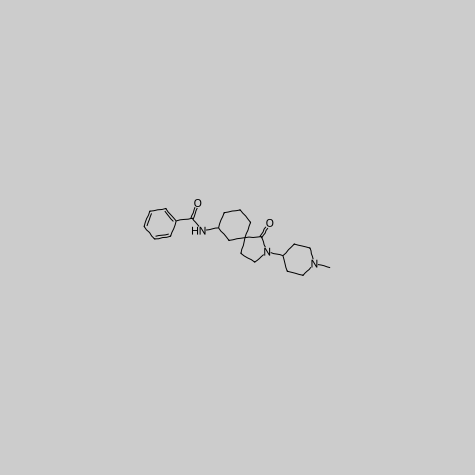 CN1CCC(N2CCC3(CCCC(NC(=O)c4ccccc4)C3)C2=O)CC1